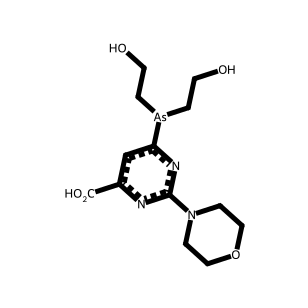 O=C(O)c1cc([As](CCO)CCO)nc(N2CCOCC2)n1